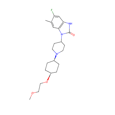 COCCO[C@H]1CC[C@@H](N2CCC(n3c(=O)[nH]c4cc(F)c(C)cc43)CC2)CC1